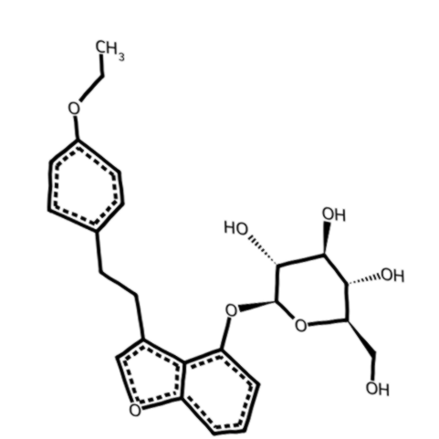 CCOc1ccc(CCc2coc3cccc(O[C@@H]4O[C@H](CO)[C@@H](O)[C@H](O)[C@H]4O)c23)cc1